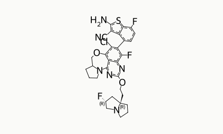 N#Cc1c(N)sc2c(F)ccc(-c3c(Cl)c4c5c(nc(OCC[C@@]67CCCN6C[C@H](F)C7)nc5c3F)N3CCCC3CO4)c12